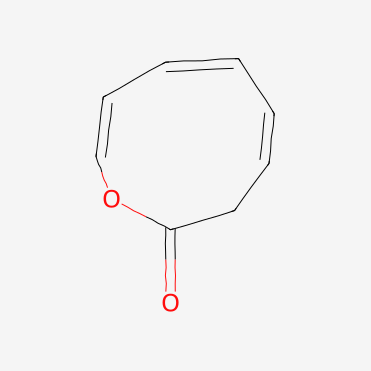 O=C1C\C=C/C=C\C=C/O1